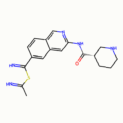 CC(=N)SC(=N)c1ccc2cnc(NC(=O)[C@H]3CCCNC3)cc2c1